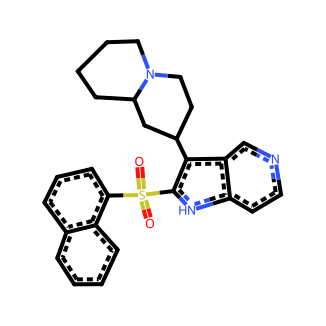 O=S(=O)(c1[nH]c2ccncc2c1C1CCN2CCCCC2C1)c1cccc2ccccc12